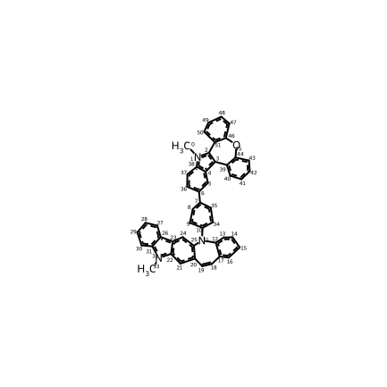 Cn1c2c(c3cc(-c4ccc(N5c6ccccc6C=Cc6cc7c(cc65)c5ccccc5n7C)cc4)ccc31)-c1ccccc1Oc1ccccc1-2